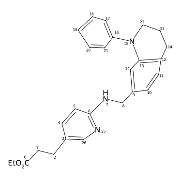 CCOC(=O)CCc1ccc(NCc2ccc3c(c2)N(c2ccccc2)CCC3)nc1